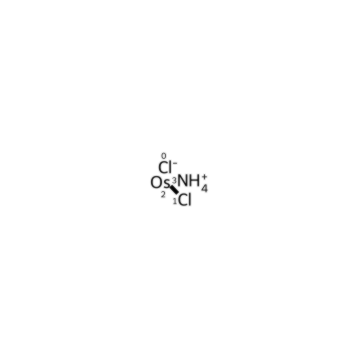 [Cl-].[Cl][Os].[NH4+]